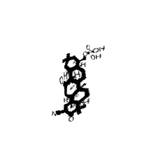 CC1(C)C[C@@H](COP(=O)(O)O)[C@H]2CC[C@]3(C)[C@H](C(=O)C[C@@H]4[C@@]5(C)C=C(C#N)C(=O)C(C)(C)[C@@H]5CC[C@]43C)[C@H]2C1